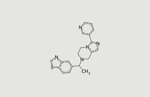 CC(c1ccc2scnc2c1)N1CCn2c(cnc2-c2cccnc2)C1